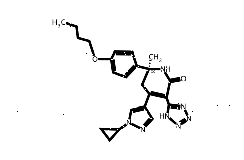 CCCCOc1ccc([C@]2(C)CC(c3cnn(C4CC4)c3)=C(c3nnn[nH]3)C(=O)N2)cc1